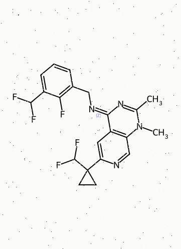 Cc1n/c(=N\Cc2cccc(C(F)F)c2F)c2cc(C3(C(F)F)CC3)ncc2n1C